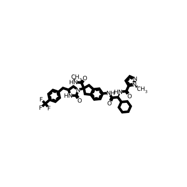 CNC(=O)C1(N2CC(Cc3ccc(C(F)(F)F)cc3)NC2=O)Cc2ccc(NC(=O)[C@@H](NC(=O)c3ccnn3C)C3CCCCC3)cc2C1